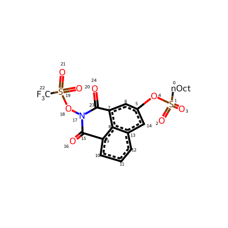 CCCCCCCCS(=O)(=O)Oc1cc2c3c(cccc3c1)C(=O)N(OS(=O)(=O)C(F)(F)F)C2=O